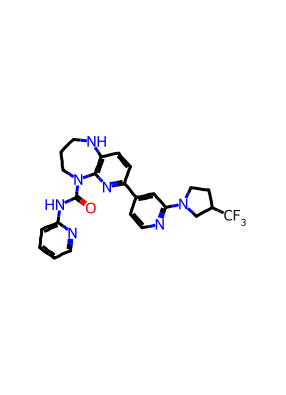 O=C(Nc1ccccn1)N1CCCNc2ccc(-c3ccnc(N4CCC(C(F)(F)F)C4)c3)nc21